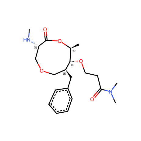 CN[C@H]1COC[C@H](Cc2ccccc2)[C@@H](OCCC(=O)N(C)C)[C@H](C)OC1=O